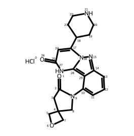 Cl.O=C1CC2(COC2)CN1c1cccc2nn3c(C4CCNCC4)cc(=O)[nH]c3c12